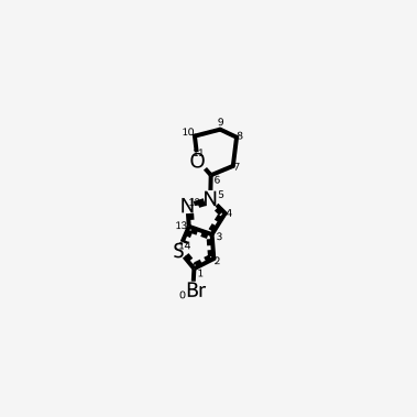 Brc1cc2cn(C3CCCCO3)nc2s1